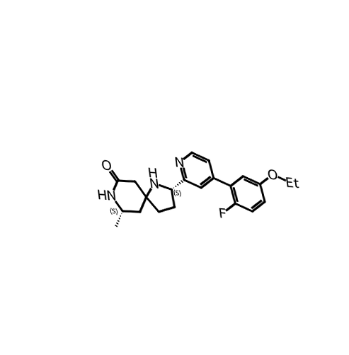 CCOc1ccc(F)c(-c2ccnc([C@@H]3CCC4(CC(=O)N[C@@H](C)C4)N3)c2)c1